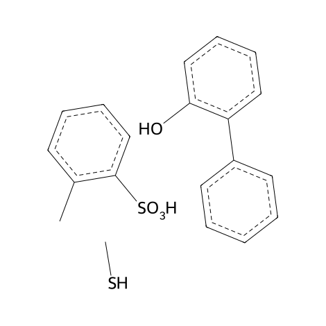 CS.Cc1ccccc1S(=O)(=O)O.Oc1ccccc1-c1ccccc1